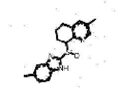 Cc1cnc2c(c1)CCCC2[S+]([O-])c1nc2cc(C)ccc2[nH]1